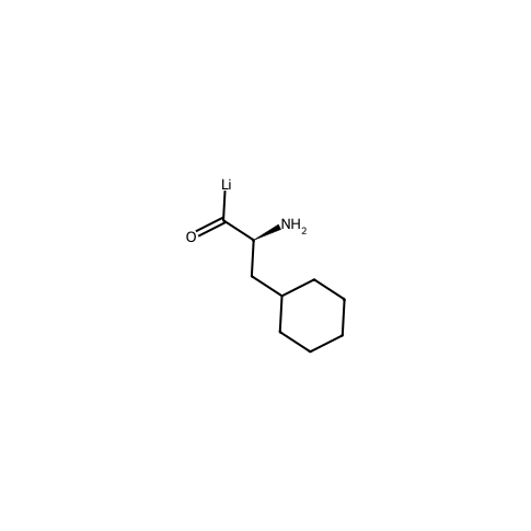 [Li][C](=O)[C@@H](N)CC1CCCCC1